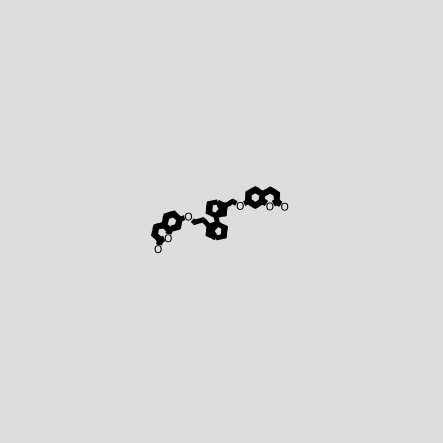 O=c1ccc2ccc(OCCC3CC4C=CC3(C35C=CC(C3)C(COc3ccc6ccc(=O)oc6c3)C5)C4)cc2o1